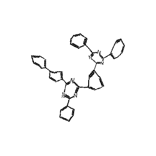 c1ccc(-c2ccc(-c3nc(-c4ccccc4)nc(-c4cccc(-c5nc(-c6ccccc6)nc(-c6ccccc6)n5)c4)n3)cc2)cc1